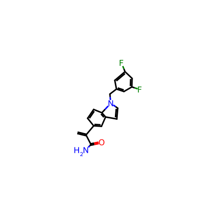 C=C(C(N)=O)c1ccc2c(ccn2Cc2cc(F)cc(F)c2)c1